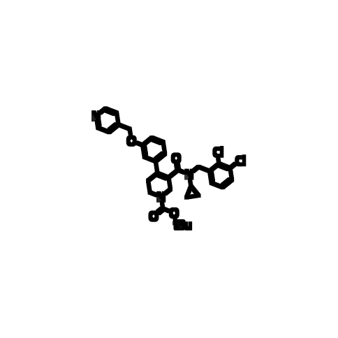 CC(C)(C)OC(=O)N1CCC(c2cccc(OCc3ccncc3)c2)=C(C(=O)N(Cc2cccc(Cl)c2Cl)C2CC2)C1